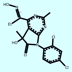 CC/C(=N\O)c1nc(C)nc2c1C(C)(O)C(=O)N2c1ccc(Cl)cc1Cl